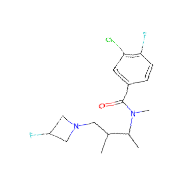 CC(CN1CC(F)C1)C(C)N(C)C(=O)c1ccc(F)c(Cl)c1